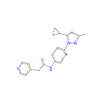 Cc1cc(C2CC2)n(-c2ccc(NC(=O)Cc3ccncc3)cn2)n1